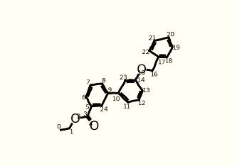 CCOC(=O)c1cccc(-c2cccc(OCc3ccccc3)c2)c1